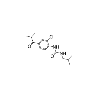 CC(C)CNC(=O)Nc1ccc(C(=O)C(C)C)cc1Cl